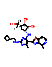 CCC(O)(CC)[C@H]1C[C@@H](Nc2nc(NCC3CCC3)nc(C)c2-c2nc3c(C)nccc3s2)[C@H](O)[C@@H]1O